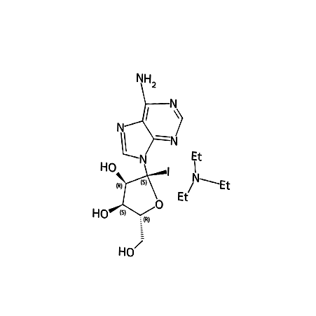 CCN(CC)CC.Nc1ncnc2c1ncn2[C@]1(I)O[C@H](CO)[C@@H](O)[C@H]1O